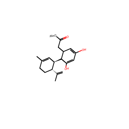 C=C(C)[C@@H]1CCC(C)=C[C@H]1C1C(O)=CC(O)=CC1CC(=O)OC